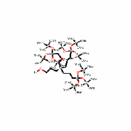 CCOCCC[Si](CCC[Si](O[Si](OC)(OC)OC)(O[Si](OC)(OC)OC)O[Si](OC)(OC)OC)(CCC[Si](O[Si](OC)(OC)OC)(O[Si](OC)(OC)OC)O[Si](OC)(OC)OC)CCC[Si](O[Si](OC)(OC)OC)(O[Si](OC)(OC)OC)O[Si](OC)(OC)OC